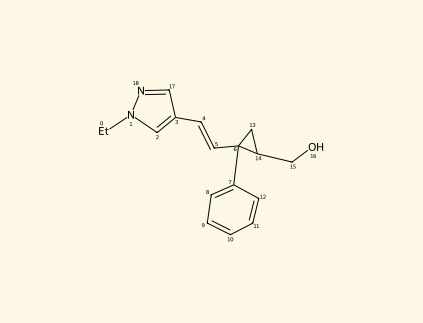 CCn1cc(C=CC2(c3ccccc3)CC2CO)cn1